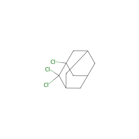 ClC12CC3CC(CC(C3)C1(Cl)Cl)C2